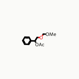 COCOCC(OC(C)=O)c1ccccc1